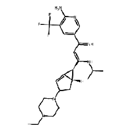 CCN1CCN(C2C=C3[C@@H](C2)[C@@H]3/C(=C/C(=N)c2cnc(N)c(C(F)(F)F)c2)NC(C)C)CC1